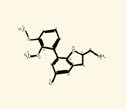 COc1cccc(-c2cc(Cl)cc3c2OC(CN)C3)c1OC